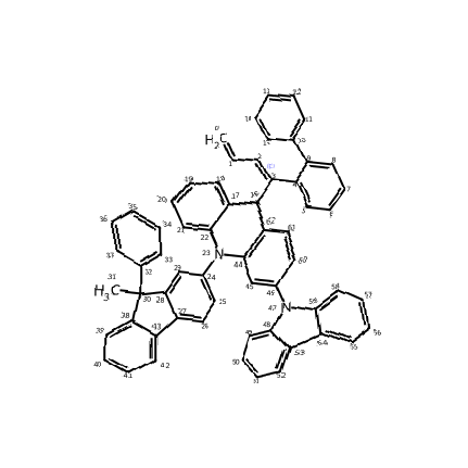 C=C/C=C(/c1ccccc1-c1ccccc1)C1c2ccccc2N(c2ccc3c(c2)C(C)(c2ccccc2)c2ccccc2-3)c2cc(-n3c4ccccc4c4ccccc43)ccc21